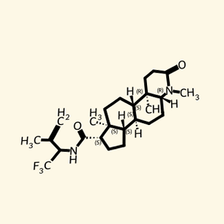 C=C(C)C(NC(=O)[C@H]1CC[C@H]2[C@@H]3CC[C@H]4N(C)C(=O)CC[C@]4(C)[C@H]3CC[C@]12C)C(F)(F)F